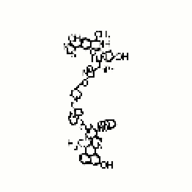 Cc1ncsc1-c1ccc([C@H](C)NC(=O)[C@@H]2C[C@@H](O)CN2C(=O)[C@@H](c2cc(OCC3CCN(C[C@@H]4CC[C@@]5(COc6nc(N7CC8CCC(C7)N8)c7cnc8c(c7n6)C(C)c6cccc7cc(O)cc-8c67)CCCN45)CC3)no2)C(C)C)cc1